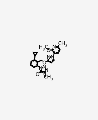 COc1nc(C)ccc1-n1ccc(OCc2c(C3CC3)cccc2-n2nnn(C)c2=O)n1